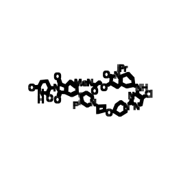 CNC(=O)COc1cc2cc(Nc3nc(N4CCC(O[C@H]5C[C@H](N6CC[C@@H](c7ccc8c(c7)C(=O)N(C7CCC(=O)NC7=O)C8=O)[C@@H](F)C6)C5)CC4)ncc3Cl)ccc2n(C(C)C)c1=O